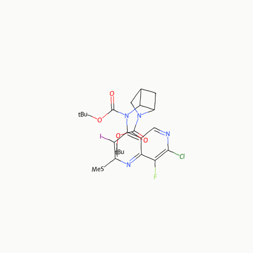 CSc1nc2c(F)c(Cl)ncc2c(N(C(=O)OC(C)(C)C)C2C3CC2N(C(=O)OC(C)(C)C)C3)c1I